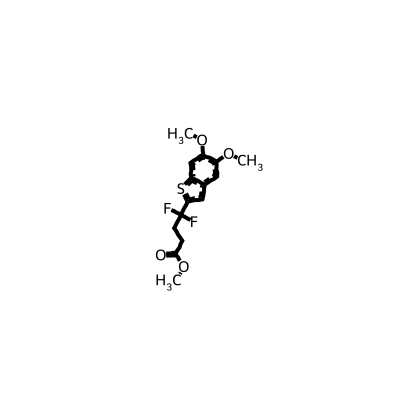 COC(=O)CCC(F)(F)c1cc2cc(OC)c(OC)cc2s1